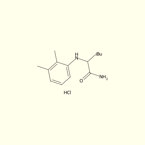 CCC(C)C(Nc1cccc(C)c1C)C(N)=O.Cl